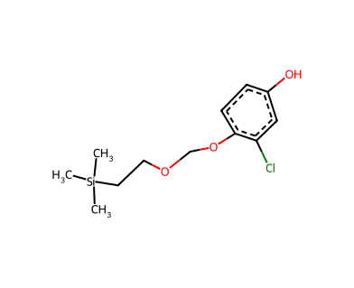 C[Si](C)(C)CCOCOc1ccc(O)cc1Cl